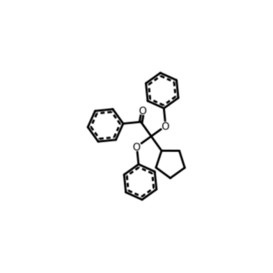 O=C(c1ccccc1)C(Oc1ccccc1)(Oc1ccccc1)C1CCCC1